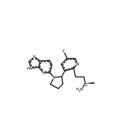 C[C@@H](N)CCc1ncc(F)cc1C1CCCN1c1ccc2nc[nH]c2n1